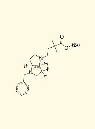 CC(C)(C)OC(=O)C(C)(C)CCN1CC[C@H]2[C@@H]1C(F)(F)CN2Cc1ccccc1